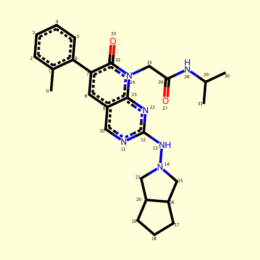 Cc1ccccc1-c1cc2cnc(NN3CC4CCCC4C3)nc2n(CC(=O)NC(C)C)c1=O